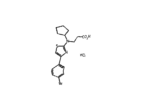 Cl.O=C(O)CCN(c1nc(-c2ccc(Br)cc2)cs1)C1CCCC1